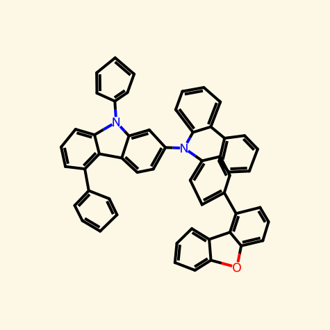 c1ccc(-c2ccccc2N(c2ccc(-c3cccc4oc5ccccc5c34)cc2)c2ccc3c4c(-c5ccccc5)cccc4n(-c4ccccc4)c3c2)cc1